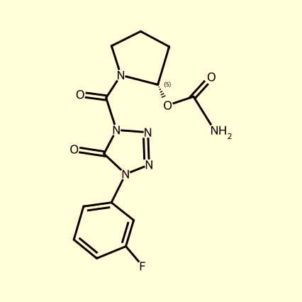 NC(=O)O[C@H]1CCCN1C(=O)n1nnn(-c2cccc(F)c2)c1=O